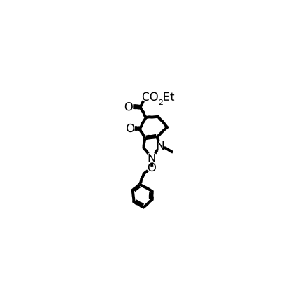 CCOC(=O)C(=O)C1CCC2=C(CN(OCc3ccccc3)N2C)C1=O